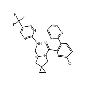 O=C(c1cc(Cl)ccc1-c1ncccn1)N1CC2(CC2)C[C@H]1CNc1ncc(C(F)(F)F)cn1